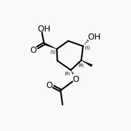 CC(=O)O[C@@H]1C[C@@H](C(=O)O)C[C@H](O)[C@H]1C